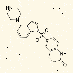 O=C1CCc2cc(S(=O)(=O)n3ccc4c(N5CCNCC5)cccc43)ccc2N1